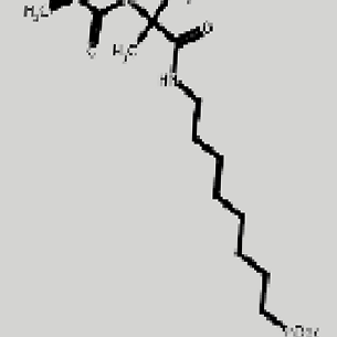 C=CC(=O)NC(C)(C)C(=O)NCCCCCCCCCCCCCCCCCC